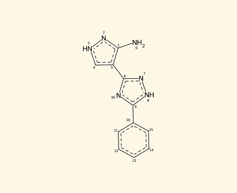 Nc1n[nH]cc1-c1n[nH]c(-c2ccccc2)n1